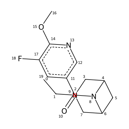 CCN1CC2CC(C1)N2C(=O)c1cnc(OC)c(F)c1